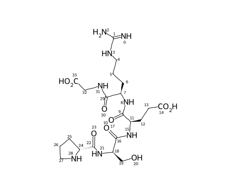 N=C(N)NCCC[C@@H](NC(=O)[C@@H](CCC(=O)O)NC(=O)[C@@H](CO)NC(=O)[C@H]1CCCN1)C(=O)NCC(=O)O